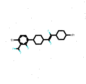 CCCC1CCC(/C(F)=C(\F)C2CCC(c3ccc(CC)c(C(F)F)c3F)CC2)CC1